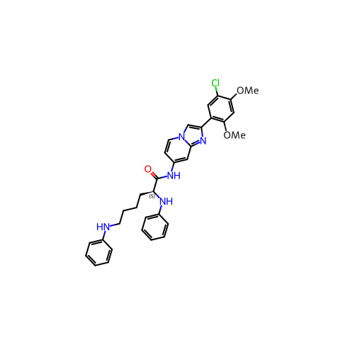 COc1cc(OC)c(-c2cn3ccc(NC(=O)[C@H](CCCCNc4ccccc4)Nc4ccccc4)cc3n2)cc1Cl